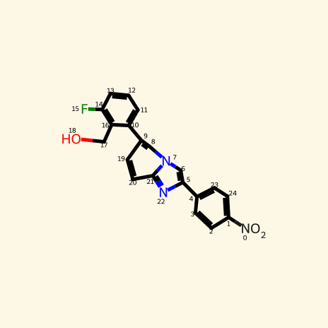 O=[N+]([O-])c1ccc(-c2cn3cc(-c4cccc(F)c4CO)ccc3n2)cc1